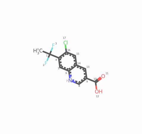 CC(F)(F)c1cc2ncc(C(=O)O)cc2cc1Cl